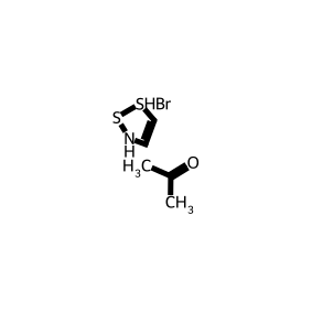 Br.C1=CSSN1.CC(C)=O